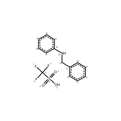 O=S(=O)(O)C(F)(F)F.c1ccc(CNc2ccccc2)cc1